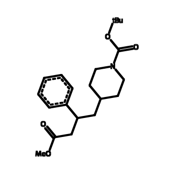 COC(=O)CC(CC1CCN(C(=O)OC(C)(C)C)CC1)c1ccccc1